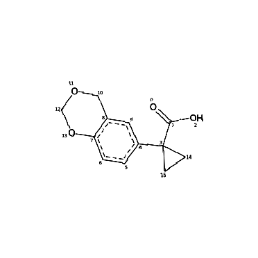 O=C(O)C1(c2ccc3c(c2)COCO3)CC1